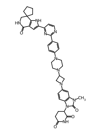 Cn1c(=O)n(C2CCC(=O)NC2=O)c2ccc(N3CC(N4CCN(c5ccc(-c6nccc(-c7cc8c([nH]7)C7(CCCC7)CNC8=O)n6)cc5)CC4)C3)cc21